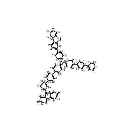 c1ccc(-c2ccc(-c3ccc(N(c4ccc(-c5ccc(-c6cccc(-n7c8ccccc8c8ccccc87)c6)cc5)cc4)c4ccc(-c5ccc6c(c5)oc5ccccc56)cc4)cc3)cc2)cc1